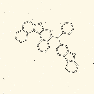 c1ccc(N(c2ccc3c(c2)oc2ccccc23)c2cc3oc4ccc5ccccc5c4c3c3ccccc23)cc1